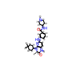 C[C@@H]1C(=O)N(C)c2ccc(Nc3cccc(C(=O)NC4CCN(C)CC4)c3)nc2N1C1CCC(C)(C)CC1